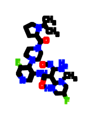 CC(C)N1CCCC1C(=O)N1CCN(c2c(F)cncc2NC(=O)C(C(N)N=O)C2NCC(F)CN2C)CC1